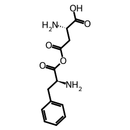 N[C@@H](CC(=O)OC(=O)[C@@H](N)Cc1ccccc1)C(=O)O